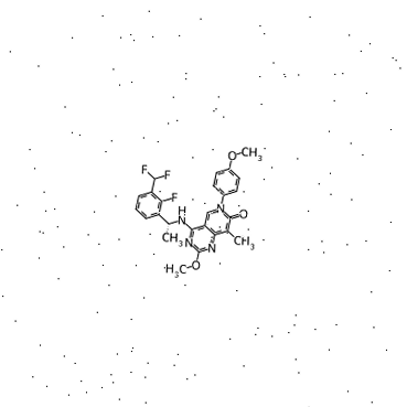 COc1ccc(-n2cc3c(N[C@H](C)c4cccc(C(F)F)c4F)nc(OC)nc3c(C)c2=O)cc1